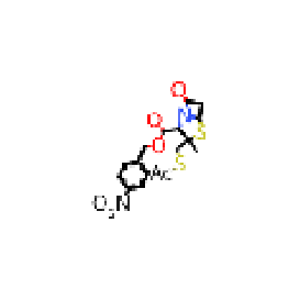 CC(=O)SCC1(C)SC2CC(=O)N2C1C(=O)OCc1ccc([N+](=O)[O-])cc1